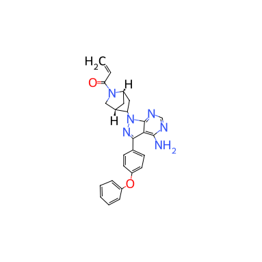 C=CC(=O)N1C[C@@H]2C[C@H]1CC2n1nc(-c2ccc(Oc3ccccc3)cc2)c2c(N)ncnc21